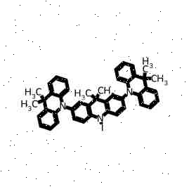 CC1(C)c2cc(N3c4ccccc4C(C)(C)c4ccccc43)ccc2N(I)c2ccc(N3c4ccccc4C(C)(C)c4ccccc43)cc21